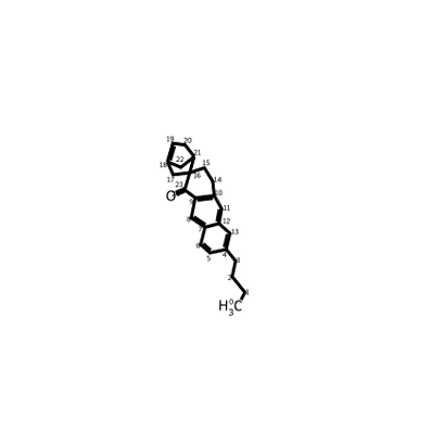 CCCCc1ccc2cc3c(cc2c1)CCC1(CC2=CCC1C2)C3=O